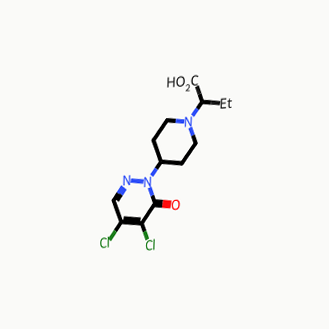 CCC(C(=O)O)N1CCC(n2ncc(Cl)c(Cl)c2=O)CC1